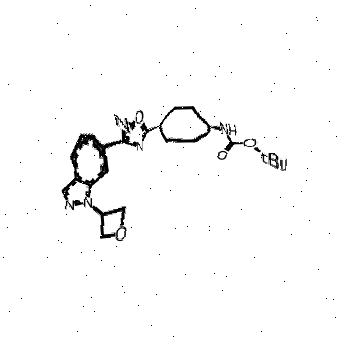 CC(C)(C)OC(=O)N[C@H]1CC[C@@H](c2nc(-c3ccc4cnn(C5COC5)c4c3)no2)CC1